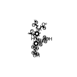 COC(=O)CCN(CCC(=O)OC)c1ccc(/N=N/c2ccc(S(=O)(=O)CCS(=O)(=O)O)cc2S(=O)(=O)CCS(=O)(=O)O)c(NC(C)=O)c1